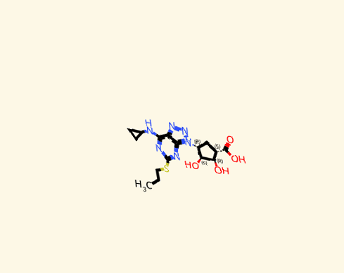 CCCSc1nc(NC2CC2)c2nnn([C@@H]3C[C@H](C(=O)O)[C@@H](O)[C@H]3O)c2n1